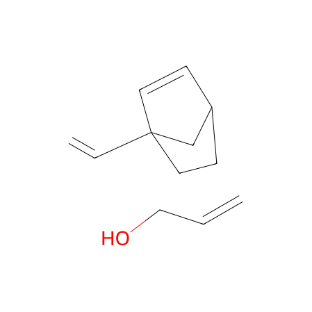 C=CC12C=CC(CC1)C2.C=CCO